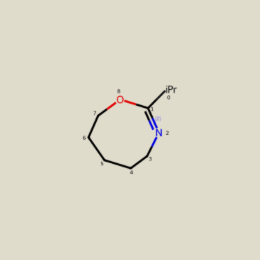 CC(C)/C1=N/CCCCCO1